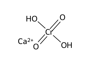 [Ca+2].[O]=[Cr](=[O])([OH])[OH]